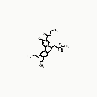 CCOC(=O)c1cn2c(cc1=O)-c1cc(OCC)c(OCC)cc1CC2CNS(C)(=O)=O